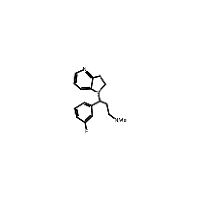 CNCCC(c1cccc(F)c1)N1CCc2ncccc21